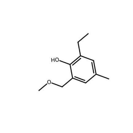 CCc1cc(C)cc(COC)c1O